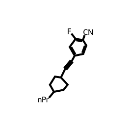 CCCC1CCC(C#Cc2ccc(C#N)c(F)c2)CC1